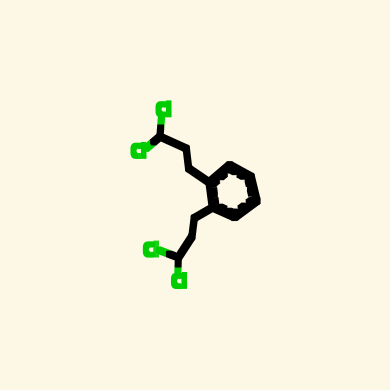 ClC(Cl)CCc1ccccc1CCC(Cl)Cl